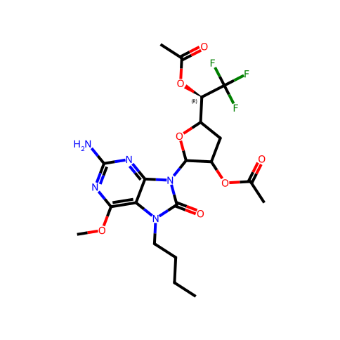 CCCCn1c(=O)n(C2OC([C@@H](OC(C)=O)C(F)(F)F)CC2OC(C)=O)c2nc(N)nc(OC)c21